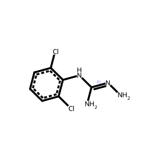 N/N=C(\N)Nc1c(Cl)cccc1Cl